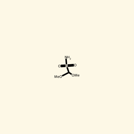 COC(OC)S(N)(=O)=O